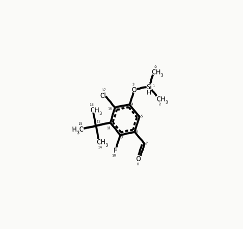 C[SiH](C)Oc1cc(C=O)c(F)c(C(C)(C)C)c1Cl